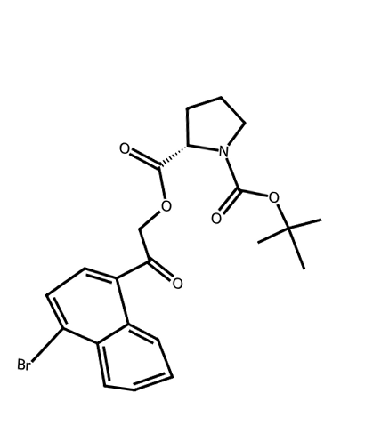 CC(C)(C)OC(=O)N1CCC[C@H]1C(=O)OCC(=O)c1ccc(Br)c2ccccc12